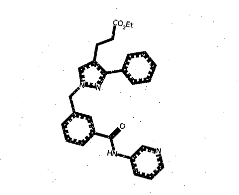 CCOC(=O)CCc1cn(Cc2cccc(C(=O)Nc3cccnc3)c2)nc1-c1ccccc1